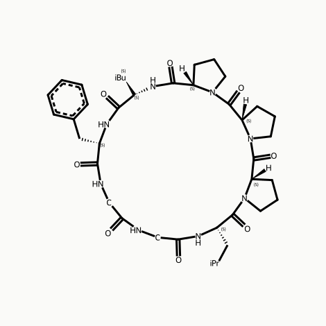 CC[C@H](C)[C@@H]1NC(=O)[C@@H]2CCCN2C(=O)[C@@H]2CCCN2C(=O)[C@@H]2CCCN2C(=O)[C@H](CC(C)C)NC(=O)CNC(=O)CNC(=O)[C@H](Cc2ccccc2)NC1=O